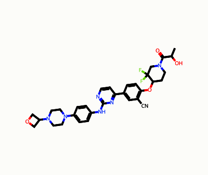 CC(O)C(=O)N1CCC(Oc2ccc(-c3ccnc(Nc4ccc(N5CCN(C6COC6)CC5)cc4)n3)cc2C#N)C(F)(F)C1